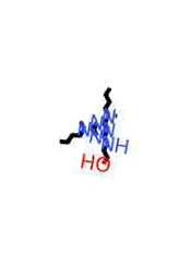 CCCCN(C)c1nc(NCCO)nc(N(C)CCCC)n1